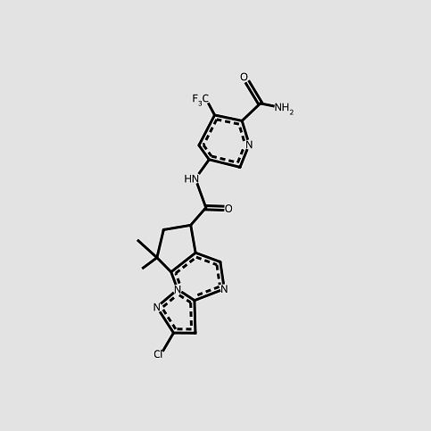 CC1(C)CC(C(=O)Nc2cnc(C(N)=O)c(C(F)(F)F)c2)c2cnc3cc(Cl)nn3c21